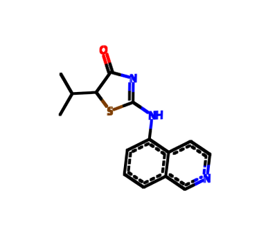 CC(C)C1SC(Nc2cccc3cnccc23)=NC1=O